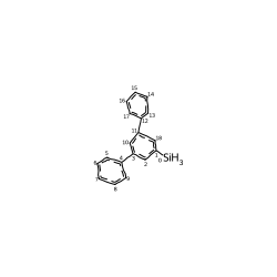 [SiH3]c1cc(-c2ccccc2)cc(-c2ccccc2)c1